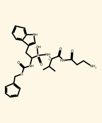 CC(C)[C@H](NP(=O)(O)C(Cc1c[nH]c2ccccc12)NC(=O)OCc1ccccc1)C(=O)NC(=O)CCN